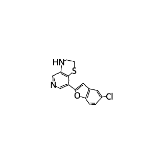 Clc1ccc2oc(-c3cncc4c3SCCN4)cc2c1